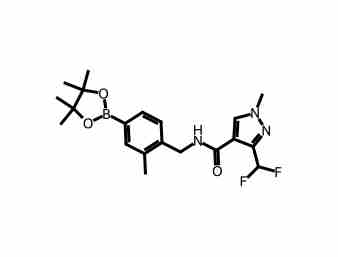 Cc1cc(B2OC(C)(C)C(C)(C)O2)ccc1CNC(=O)c1cn(C)nc1C(F)F